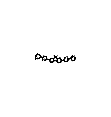 CC1(C)c2cc(-c3ccc(-c4cccnc4)nc3)ccc2-c2ccc(-c3ccc(-c4cccnc4)nc3)cc21